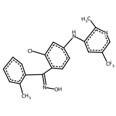 Cc1ccccc1C(=NO)c1ccc(Nc2cc(C(F)(F)F)cnc2C)cc1Cl